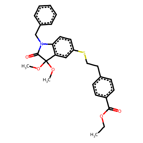 CCOC(=O)c1ccc(CCSc2ccc3c(c2)C(OC)(OC)C(=O)N3Cc2ccccc2)cc1